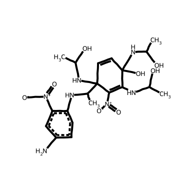 CC(O)NC1=C([N+](=O)[O-])C(NC(C)O)(C(C)Nc2ccc(N)cc2[N+](=O)[O-])C=CC1(O)NC(C)O